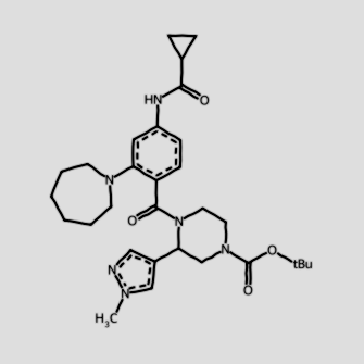 Cn1cc(C2CN(C(=O)OC(C)(C)C)CCN2C(=O)c2ccc(NC(=O)C3CC3)cc2N2CCCCCC2)cn1